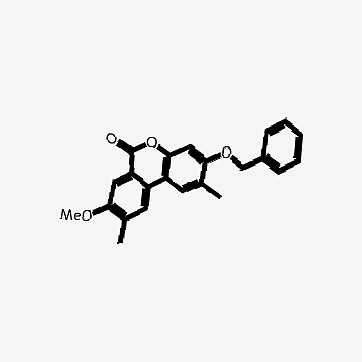 COc1cc2c(=O)oc3cc(OCc4ccccc4)c(C)cc3c2cc1C